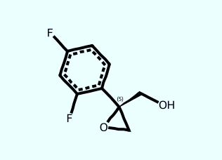 OC[C@@]1(c2ccc(F)cc2F)CO1